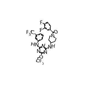 O=C(c1ccc(F)c(F)c1)N1CCC(Nc2nc(Nc3cccc(C(F)(F)F)c3)nc(OCC(F)(F)F)n2)CC1